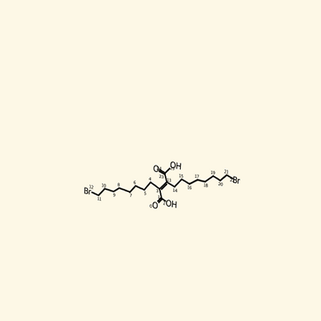 O=C(O)C(CCCCCCCCBr)=C(CCCCCCCCBr)C(=O)O